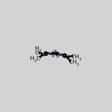 CCCCN(CCCC)c1ccc(/C=C/c2cc3sc4cc(/C=C/c5ccc(N(CCCC)CCCC)cc5)sc4c3s2)cc1